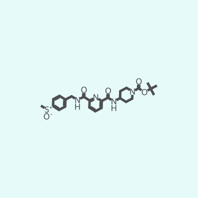 C[S+]([O-])c1ccc(CNC(=O)c2cccc(C(=O)NC3CCN(C(=O)OC(C)(C)C)CC3)n2)cc1